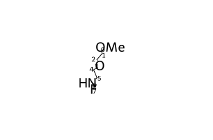 COCCOCCNF